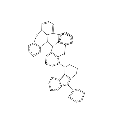 C1=CCC2Sc3c(C4CCCc5c4c4ccccc4n5-c4ccccc4)cccc3C(C3c4ccccc4SC4C=CC=C(c5ccccc5)C43)C2=C1